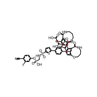 N#Cc1ccc(OP(=O)(O)CNS(=O)(=O)c2ccc(-c3ccc(-c4cc5c(CC(=O)O)c(c4CC(=O)O)C(=O)NCCCO5)c(-c4cc5c(CC(=O)O)c(c4CC(=O)O)C(=O)NCCCO5)c3)s2)cc1F